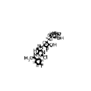 CC(Nc1nc(Cl)nc2c1cnn2[C@@H]1O[C@H](COP(=O)(O)CP(=O)(O)O)[C@@H](O)[C@@H]1F)c1ccc(F)cc1